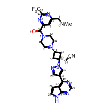 CNCc1cc(C(=O)N2CCN([C@H]3C[C@@](CC#N)(n4cc(-c5ncnc6[nH]ccc56)cn4)C3)CC2)nc(C(F)(F)F)n1